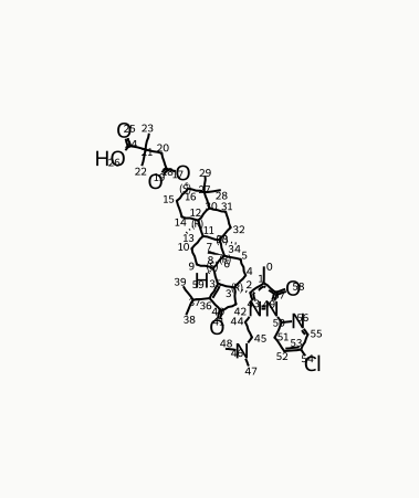 Cc1c([C@@]23CC[C@]4(C)[C@H](CCC5[C@@]6(C)CC[C@H](OC(=O)CC(C)(C)C(=O)O)C(C)(C)C6CC[C@]54C)C2=C(C(C)C)C(=O)C3)n(CCN(C)C)n(C2CC=C(Cl)C=N2)c1=O